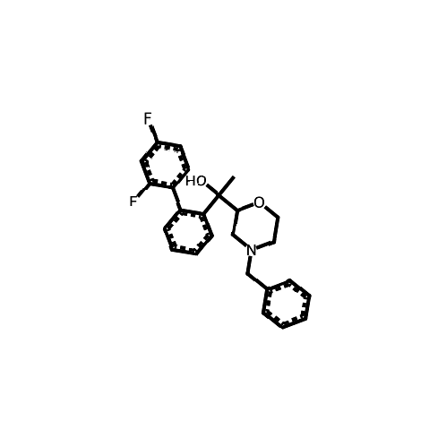 CC(O)(c1ccccc1-c1ccc(F)cc1F)C1CN(Cc2ccccc2)CCO1